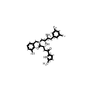 CCc1cccc(CN(C[C@@H](O)[C@@H](N)Cc2cc(F)cc(F)c2)C(=O)CCC(=O)c2ccc(C)[nH]2)c1